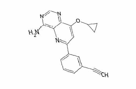 C#Cc1cccc(-c2cc(OC3CC3)c3ncnc(N)c3n2)c1